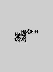 CCN(Cc1cc(Nc2nc3cccnc3s2)nc(N[C@H]2CC[C@H](O)CC2)c1)C(C)C